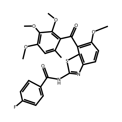 COc1cc(C)c(C(=O)c2c(OC)ccc3nc(NC(=O)c4ccc(F)cc4)sc23)c(OC)c1OC